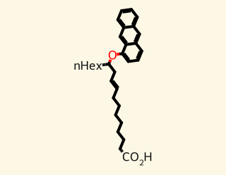 CCCCCCC(CC=CCCCCCCCC(=O)O)Oc1cccc2cc3ccccc3cc12